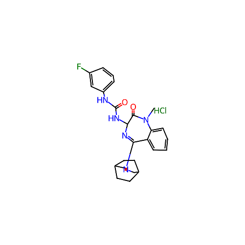 CN1C(=O)C(NC(=O)Nc2cccc(F)c2)N=C(N2CC3CCC(CC3)C2)c2ccccc21.Cl